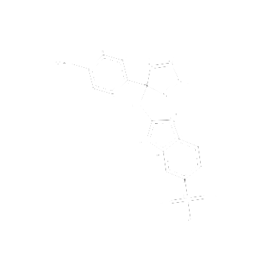 CSc1ccc(C2(Sc3nc4ccc(S(C)(=O)=O)cc4s3)N=NN=N2)cc1